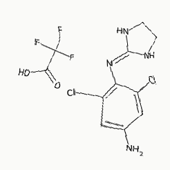 Nc1cc(Cl)c(N=C2NCCN2)c(Cl)c1.O=C(O)C(F)(F)F